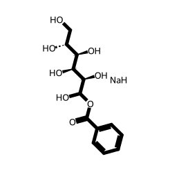 O=C(OC(O)[C@H](O)[C@@H](O)[C@H](O)[C@H](O)CO)c1ccccc1.[NaH]